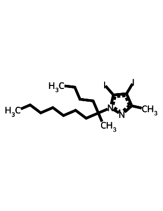 CCCCCCCC(C)(CCCC)n1nc(C)c(I)c1I